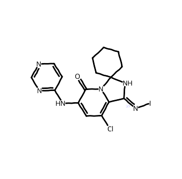 O=c1c(Nc2ccncn2)cc(Cl)c2n1C1(CCCCC1)N/C2=N\I